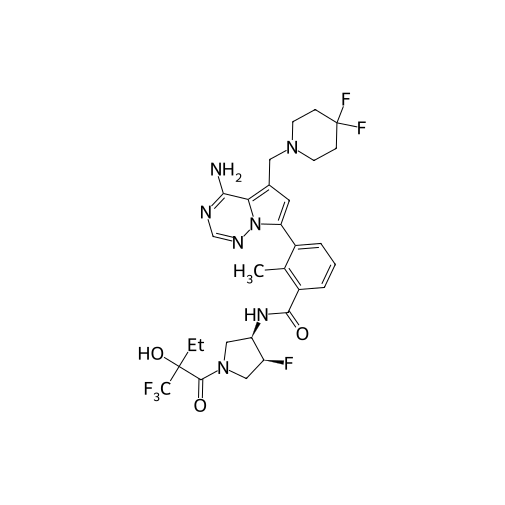 CCC(O)(C(=O)N1C[C@H](F)[C@H](NC(=O)c2cccc(-c3cc(CN4CCC(F)(F)CC4)c4c(N)ncnn34)c2C)C1)C(F)(F)F